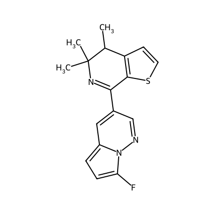 CC1c2ccsc2C(c2cnn3c(F)ccc3c2)=NC1(C)C